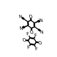 N#CC1=C(C#N)C(=O)C(C#N)=C(C#N)C1=O.O=C1C(F)=C(F)C(=O)C(F)=C1F